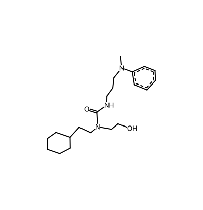 CN(CCCNC(=O)N(CCO)CCC1CCCCC1)c1ccccc1